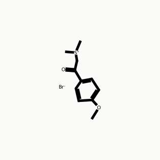 COc1ccc(C(=O)C[S+](C)C)cc1.[Br-]